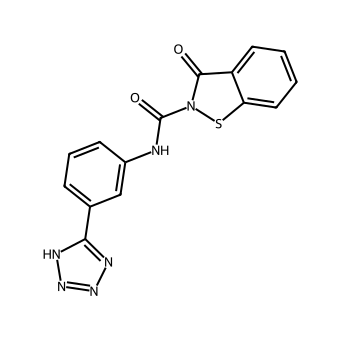 O=C(Nc1cccc(-c2nnn[nH]2)c1)n1sc2ccccc2c1=O